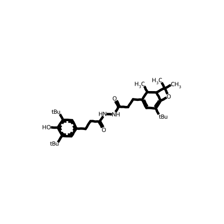 CC1C(CCC(=O)NNC(=O)CCc2cc(C(C)(C)C)c(O)c(C(C)(C)C)c2)=CC(C(C)(C)C)=C2OC(C)(C)C21